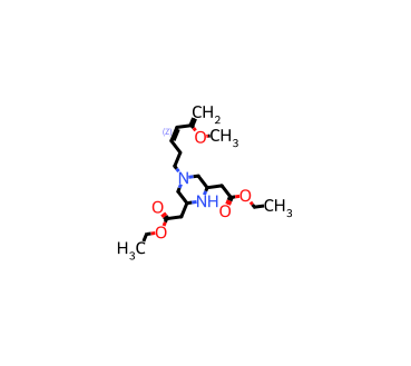 C=C(/C=C\CCN1CC(CC(=O)OCC)NC(CC(=O)OCC)C1)OC